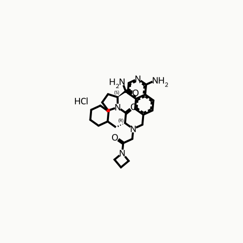 Cl.NC(=O)[C@@H]1CCCN1C(=O)[C@@H](CC1CCCCC1)N(CC(=O)N1CCC1)Cc1ccc2c(N)nccc2c1